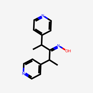 CC(C(=NO)C(C)c1ccncc1)c1ccncc1